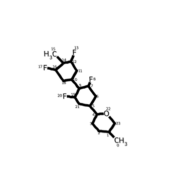 CC1CCC(C2CC(F)C(C3CC(F)C(C)C(F)C3)C(F)C2)OC1